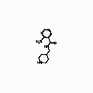 Nc1ncccc1C(=O)NCC1CCNCC1